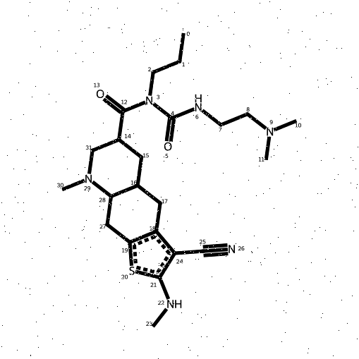 CCCN(C(=O)NCCN(C)C)C(=O)C1CC2Cc3c(sc(NC)c3C#N)CC2N(C)C1